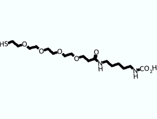 O=C(O)NCCCCCNC(=O)CCOCCOCCOCCOCCS